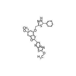 COc1cc(OCC2=NNC(c3ccccc3)S2)c2cc(-c3cn4nc(OC)sc4n3)oc2c1